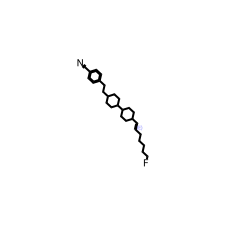 N#Cc1ccc(CCC2CCC(C3CCC(/C=C/CCCCCF)CC3)CC2)cc1